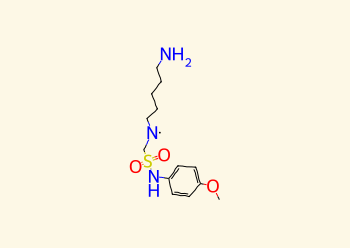 COc1ccc(NS(=O)(=O)C[N]CCCCCN)cc1